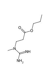 CCCOC(=O)CCN(C)C(=N)N